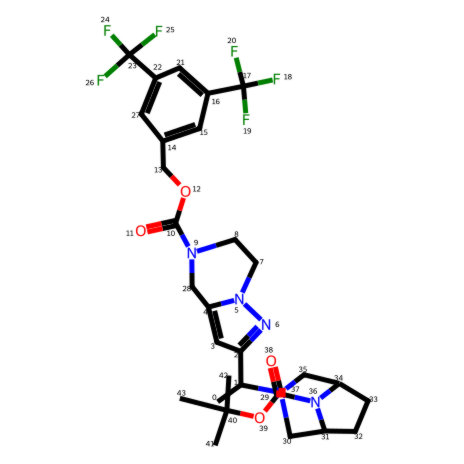 CC(c1cc2n(n1)CCN(C(=O)OCc1cc(C(F)(F)F)cc(C(F)(F)F)c1)C2)N1CC2CCC(C1)N2C(=O)OC(C)(C)C